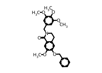 COc1cc2c(cc1OCc1ccccc1)CCN(Cc1cc(OC)c(OC)c(OC)c1)C2=O